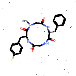 CCCN1CC(=O)N[C@@H](Cc2ccccc2)C(=O)NCC(=O)NC(Cc2ccc(F)cc2)C1=O